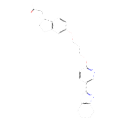 O=C(O)C[C@@H]1CCc2cc(OCCCOc3ccc(-c4nc5c(s4)CCCC5)cn3)ccc21